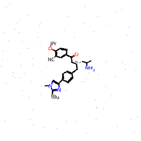 CC(N)C[C@@H](CC(=O)c1ccc(OC(C)C)c(C#N)c1)Cc1ccc(-c2cn(C)c(C(C)(C)C)n2)cc1